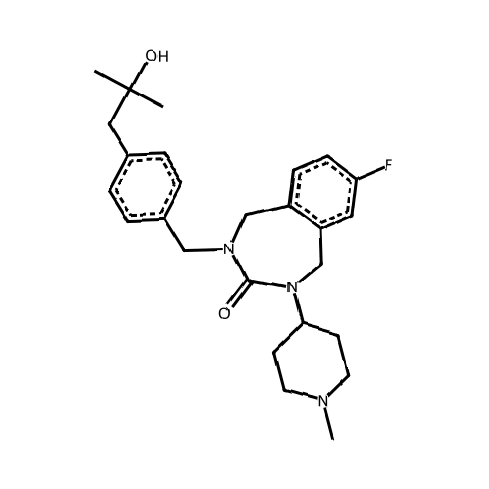 CN1CCC(N2Cc3cc(F)ccc3CN(Cc3ccc(CC(C)(C)O)cc3)C2=O)CC1